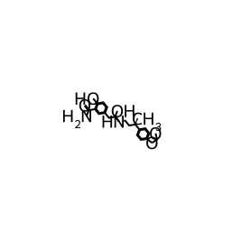 C[C@H](CCNC(O)Cc1ccc(O)c(C(N)=O)c1)c1ccc2c(c1)OCO2